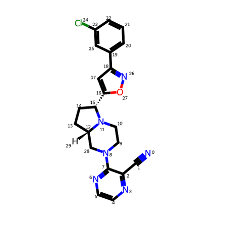 N#Cc1nccnc1N1CCN2[C@@H](CC[C@@H]2c2cc(-c3cccc(Cl)c3)no2)C1